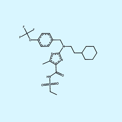 CCS(=O)(=O)NC(=O)c1nc(N(CCC2CCCCC2)Cc2ccc(OC(F)(F)F)cc2)sc1C